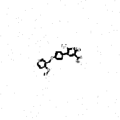 CC(C)Oc1ccncc1COc1ccc(-c2cc(C(N)=O)c(=O)[nH]c2C(F)(F)F)cc1